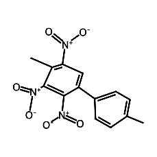 Cc1ccc(-c2cc([N+](=O)[O-])c(C)c([N+](=O)[O-])c2[N+](=O)[O-])cc1